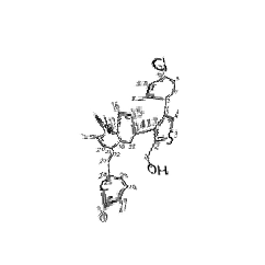 OCc1scc(-c2ccc(Cl)cc2)c1-c1ccc2nccc(C=Cc3ccccc3)c2c1